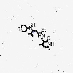 C=C(C)/C(=C\CC(CC)NCc1c(C)cc(C)[nH]c1=O)N(CC)C1CCOCC1